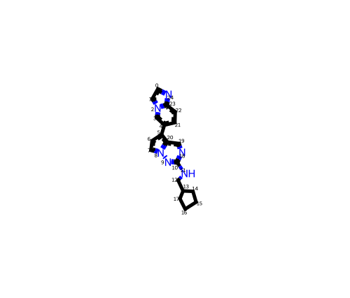 c1cn2cc(-c3ccn4nc(NCC5CCCC5)ncc34)ccc2n1